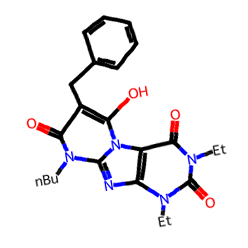 CCCCn1c(=O)c(Cc2ccccc2)c(O)n2c3c(=O)n(CC)c(=O)n(CC)c3nc12